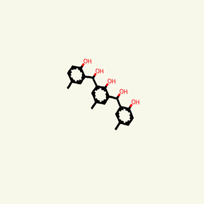 Cc1ccc(O)c(C(O)c2cc(C)cc(C(O)c3cc(C)ccc3O)c2O)c1